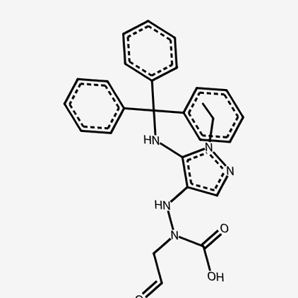 CCn1ncc(NN(CC=O)C(=O)O)c1NC(c1ccccc1)(c1ccccc1)c1ccccc1